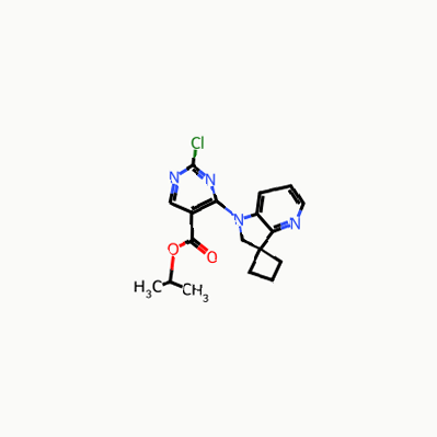 CC(C)OC(=O)c1cnc(Cl)nc1N1CC2(CCC2)c2ncccc21